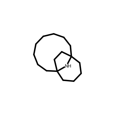 C1CCCCC23CCCCC(CCC1)(CC2)N3